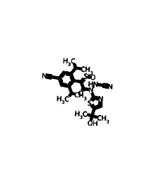 CC(C)c1cc(C#N)cc(C(C)C)c1C(=S=O)C(=O)N(NC#N)c1ncc(C(C)(C)O)s1